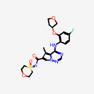 Cc1c(C(=O)N=S2(=O)CCOCC2)cn2ncnc(Nc3ccc(F)cc3O[C@H]3CCOC3)c12